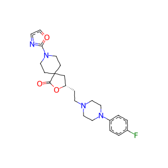 O=C1O[C@@H](CCN2CCN(c3ccc(F)cc3)CC2)CC12CCN(c1ncco1)CC2